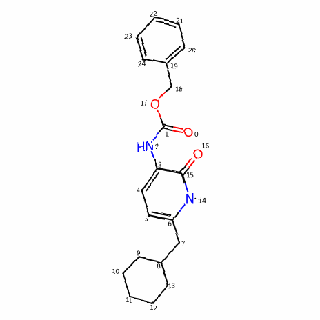 O=C(NC1=CC=C(CC2CCCCC2)[N]C1=O)OCc1ccccc1